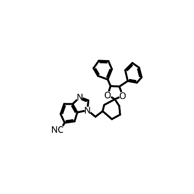 N#Cc1ccc2ncn(CC3CCCC4(C3)OC(c3ccccc3)C(c3ccccc3)O4)c2c1